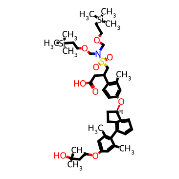 Cc1cc(O[C@@H]2CCc3c(-c4c(C)cc(OCCC(C)(C)O)cc4C)cccc32)ccc1C(CC(=O)O)CS(=O)(=O)N(COCC[Si](C)(C)C)COCC[Si](C)(C)C